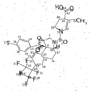 CC1=CN(C(=O)N2CC[C@@]3(S(=O)(=O)c4ccc(F)cc4)c4ccc(C(F)(C(F)(F)F)C(F)(F)F)cc4CC[C@@H]23)CCC1C(=O)O